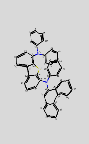 c1ccc(N(c2ccccc2)c2cccc3c2sc2c(N(c4ccccc4)c4cc5ccccc5c5ccccc45)cccc23)cc1